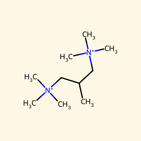 CC(C[N+](C)(C)C)C[N+](C)(C)C